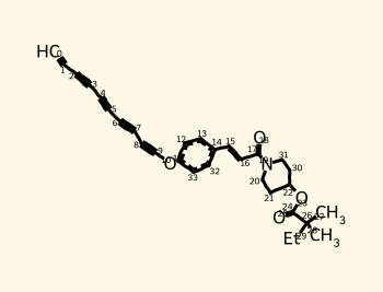 C#CC#CC#CC#CC#COc1ccc(/C=C/C(=O)N2CCC(OC(=O)C(C)(C)CC)CC2)cc1